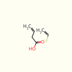 C=CCC(=O)O.C=CF